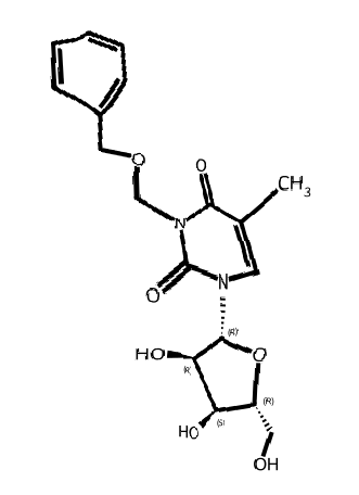 Cc1cn([C@@H]2O[C@H](CO)[C@@H](O)[C@H]2O)c(=O)n(COCc2ccccc2)c1=O